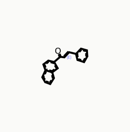 O=C(/C=C/c1ccccc1)c1ccc2ccccc2c1